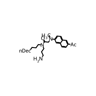 CCCCCCCCCCCCCN(CCCN)C(=O)CN(C)c1ccc2cc(C(C)=O)ccc2c1